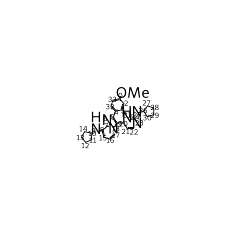 COc1ccc(-c2nc3c(NC4CCCC4)cccn3c2-c2ccnc(NC3CCCC3)n2)cc1